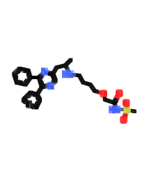 CC(Cc1cnc(-c2ccccc2)c(-c2ccccc2)n1)NCCCCOCC(=O)NS(C)(=O)=O